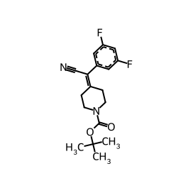 CC(C)(C)OC(=O)N1CCC(=C(C#N)c2cc(F)cc(F)c2)CC1